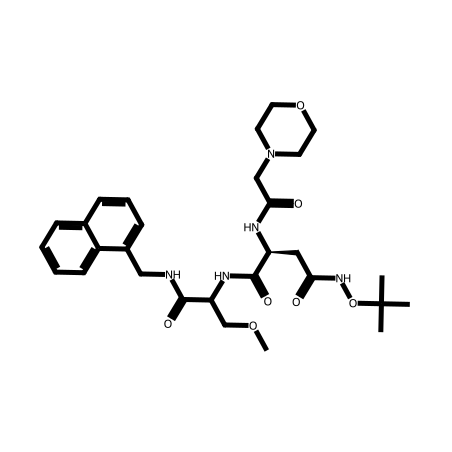 COCC(NC(=O)[C@H](CC(=O)NOC(C)(C)C)NC(=O)CN1CCOCC1)C(=O)NCc1cccc2ccccc12